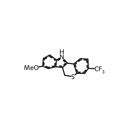 COc1ccc2[nH]c3c(c2c1)CSc1cc(C(F)(F)F)ccc1-3